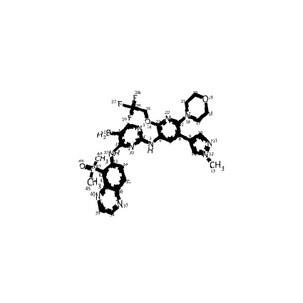 Bc1cnc(Nc2cc(-c3cnn(C)c3)c(N3CCOCC3)nc2OCC(F)(F)F)nc1Nc1ccc2nccnc2c1P(C)(C)=O